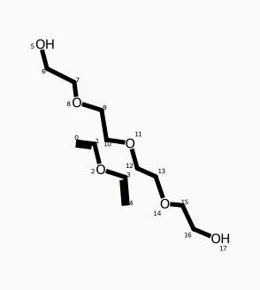 C=COC=C.OCCOCCOCCOCCO